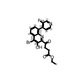 CCOC(=O)CCC(=O)c1nc2c(-c3ccncc3F)cccc2c(Br)c1O